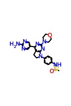 C[S+]([O-])Nc1ccc(N2CCc3c(-c4cnc(N)nc4)nc(N4CCOCC4)nc32)cc1